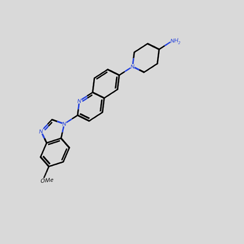 COc1ccc2c(c1)ncn2-c1ccc2cc(N3CCC(N)CC3)ccc2n1